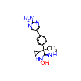 C[C@](C(=N)NO)(c1ccc(-c2cnc(N)nc2)cc1)C1CC1